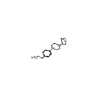 OCCc1ccc(N2CCN(C3COC3)CC2)cc1